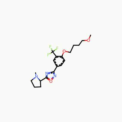 COCCCCOc1ccc(-c2noc(C3CCCN3C)n2)cc1C(F)(F)F